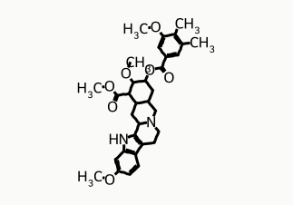 COC(=O)C1C2CC3c4[nH]c5cc(OC)ccc5c4CCN3CC2CC(OC(=O)c2cc(C)c(C)c(OC)c2)C1OC